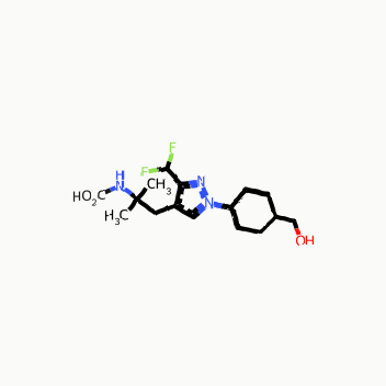 CC(C)(Cc1cn(C2CCC(CO)CC2)nc1C(F)F)NC(=O)O